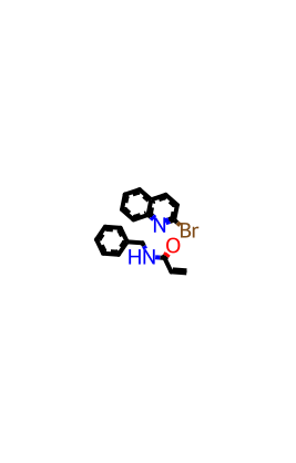 Brc1ccc2ccccc2n1.C=CC(=O)NCc1ccccc1